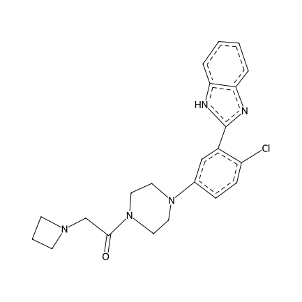 O=C(CN1CCC1)N1CCN(c2ccc(Cl)c(-c3nc4ccccc4[nH]3)c2)CC1